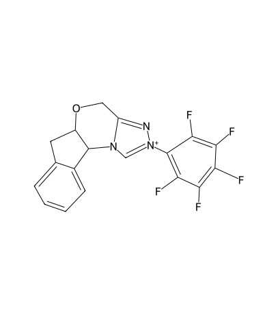 Fc1c(F)c(F)c(-[n+]2cn3c(n2)COC2Cc4ccccc4C23)c(F)c1F